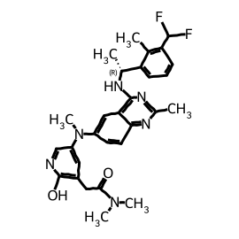 Cc1nc(N[C@H](C)c2cccc(C(F)F)c2C)c2cc(N(C)c3cnc(O)c(CC(=O)N(C)C)c3)ccc2n1